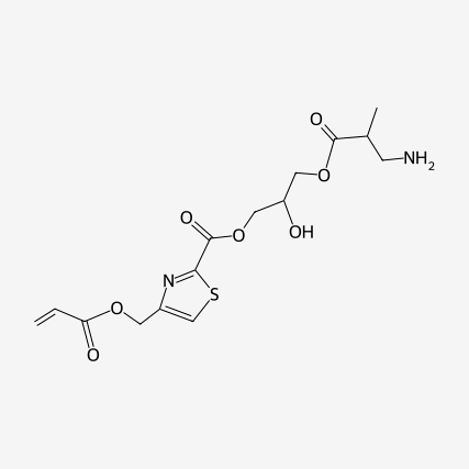 C=CC(=O)OCc1csc(C(=O)OCC(O)COC(=O)C(C)CN)n1